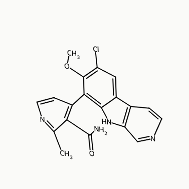 COc1c(Cl)cc2c([nH]c3cnccc32)c1-c1ccnc(C)c1C(N)=O